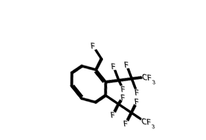 FCC1=C(C(F)(F)C(F)(F)C(F)(F)F)C(C(F)(F)C(F)(F)C(F)(F)F)CC=CCC1